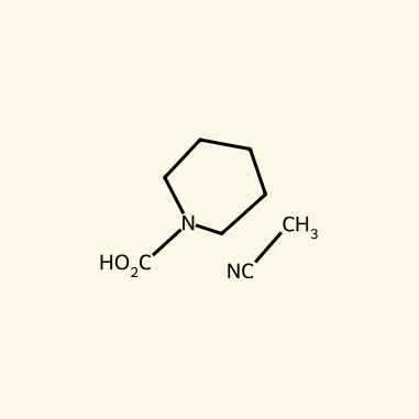 CC#N.O=C(O)N1CCCCC1